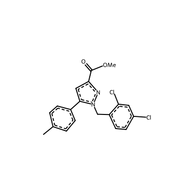 COC(=O)c1cc(-c2ccc(C)cc2)n(Cc2ccc(Cl)cc2Cl)n1